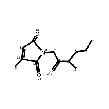 CCCC(C)C(=O)CN1C(=O)C=C(C)C1=O